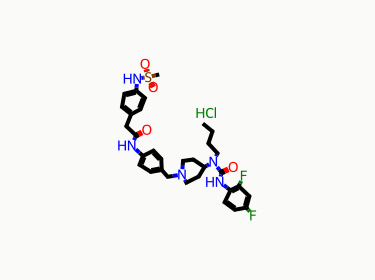 CCCCN(C(=O)Nc1ccc(F)cc1F)C1CCN(Cc2ccc(NC(=O)Cc3ccc(NS(C)(=O)=O)cc3)cc2)CC1.Cl